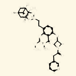 CC(C)(C)OC(=O)Oc1c(CCB2O[C@@H]3C[C@@H]4C[C@@H](C4(C)C)[C@]3(C)O2)ccc(OC2CN(C(=O)Cc3cccnc3)C2)c1C(=O)OC(C)(C)C